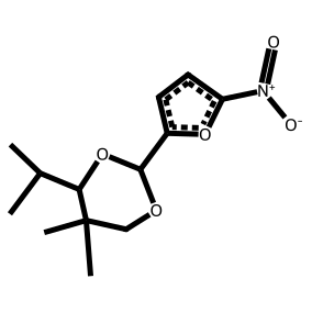 CC(C)C1OC(c2ccc([N+](=O)[O-])o2)OCC1(C)C